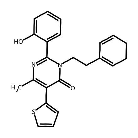 Cc1nc(-c2ccccc2O)n(CCC2=CCCC=C2)c(=O)c1-c1cccs1